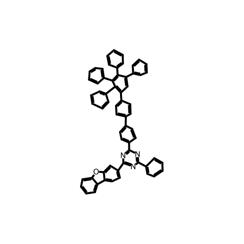 c1ccc(-c2nc(-c3ccc(-c4ccc(-c5cc(-c6ccccc6)c(-c6ccccc6)c(-c6ccccc6)c5-c5ccccc5)cc4)cc3)nc(-c3ccc4c(c3)oc3ccccc34)n2)cc1